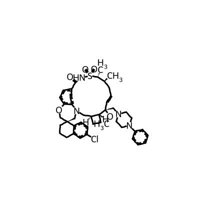 CO[C@@]1(CN2CCN(c3ccccc3)CC2)/C=C/C[C@H](C)[C@@H](C)S(=O)(=O)NC(=O)c2ccc3c(c2)N(C[C@@H]2CC[C@H]21)C[C@@]1(CCCc2cc(Cl)ccc21)CO3